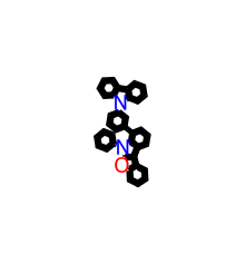 c1ccc(-n2c3oc4ccccc4c3c3cccc(-c4cccc(-n5c6ccccc6c6ccccc65)c4)c32)cc1